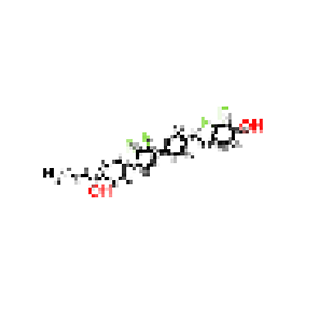 CCCC(O)C1CCC(c2ccc(-c3ccc(CCc4ccc(O)c(F)c4F)cc3)c(F)c2F)CC1